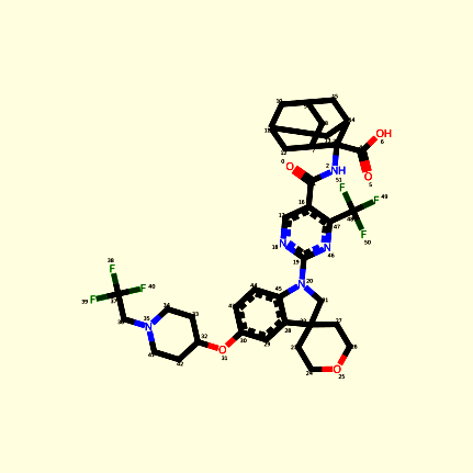 O=C(NC1(C(=O)O)C2CC3CC(C2)CC1C3)c1cnc(N2CC3(CCOCC3)c3cc(OC4CCN(CC(F)(F)F)CC4)ccc32)nc1C(F)(F)F